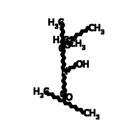 CCCCCCCCC(CCCCCC)C(=O)OCCCCCCN(CCCCO)CCCCCCOC(CCCCCCC)O[Si](C)(C)CCCCCCCC